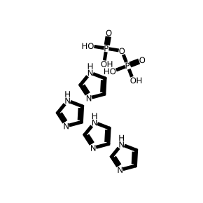 O=P(O)(O)OP(=O)(O)O.c1c[nH]cn1.c1c[nH]cn1.c1c[nH]cn1.c1c[nH]cn1